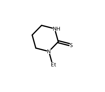 CCN1CCCNC1=S